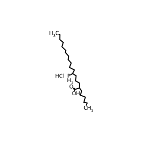 CCCCCCCCCCCCC(P)CCCC(CCCCCC)C(=O)O.Cl